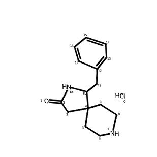 Cl.O=C1CC2(CCNCC2)C(Cc2ccccc2)N1